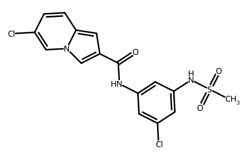 CS(=O)(=O)Nc1cc(Cl)cc(NC(=O)c2cc3ccc(Cl)cn3c2)c1